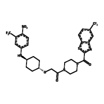 O=C(CO[C@H]1CC[C@H](Nc2ccc([N+](=O)[O-])c(C(F)(F)F)c2)CC1)N1CCN(C(=O)c2nc3cc(C(F)(F)F)ccc3s2)CC1